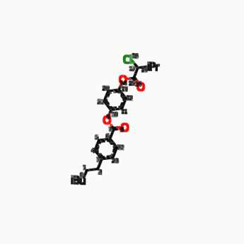 CCC(C)CCc1ccc(C(=O)Oc2ccc(OC(=O)C(Cl)C(C)C)cc2)cc1